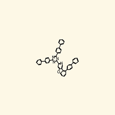 c1ccc(-c2ccc(-c3nc(-c4ccc(-c5ccccc5)cc4)nc(-c4cc5oc6cccc(-c7ccc(-c8ccccc8)cc7)c6c5cn4)n3)cc2)cc1